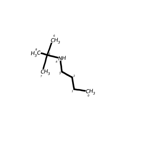 CCC[CH]NC(C)(C)C